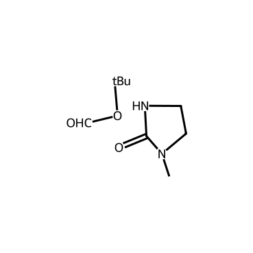 CC(C)(C)OC=O.CN1CCNC1=O